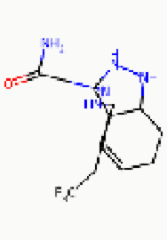 NC(=O)N1NC(CC(F)(F)F)C23C=CCCC2NNC13